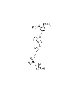 COc1ccc(CCO[C@H]2CCCC[C@@H]2N2CC[C@@H](OC(=O)CCCCCC(=O)N(C)CCS(=O)(=O)O)C2)cc1OC